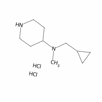 CN(CC1CC1)C1CCNCC1.Cl.Cl